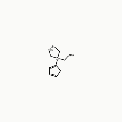 CC(C)(C)[CH2][Zr]([CH2]C(C)(C)C)([CH2]C(C)(C)C)[C]1=CC=CC1